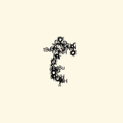 Cc1cc(NC(=O)[C@@H]2C[C@H](NC(=O)c3cnc(N4CCN(CCOc5cc6ncnc(Nc7n[nH]c(C)c7C)c6cc5S(=O)(=O)C(C)(C)C)CC4)nc3)CN2C(=O)C(NC(=O)[C@H](C)N(C)C(=O)OC(C)(C)C)C2CCCCC2)n(-c2ccccc2)n1